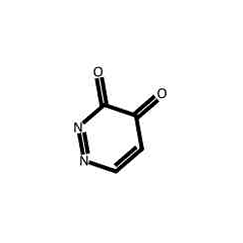 O=C1C=CN=NC1=O